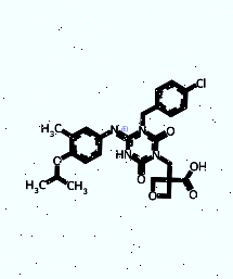 Cc1cc(/N=c2\[nH]c(=O)n(CC3(C(=O)O)COC3)c(=O)n2Cc2ccc(Cl)cc2)ccc1OC(C)C